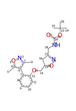 Cc1noc(C)c1-c1ccccc1OCC1CC(CNC(=O)OC(C)(C)C)=NO1